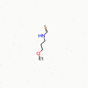 CCOCCCNC=S